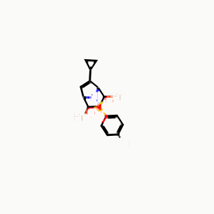 O=C1C(Br)C2C=C(C3CC3)C(C1Br)N2S(=O)(=O)c1ccc(C(F)(F)F)cc1